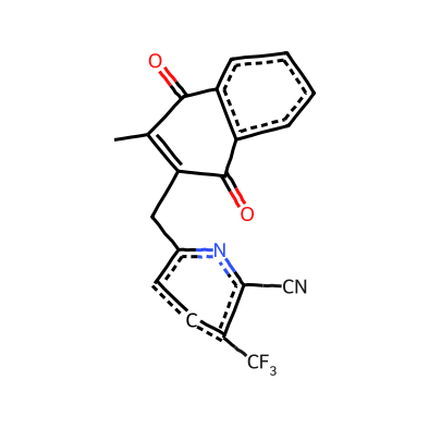 CC1=C(Cc2ccc(C(F)(F)F)c(C#N)n2)C(=O)c2ccccc2C1=O